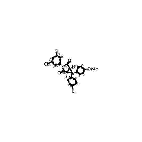 COc1ccc([C@@]2(c3ccc(Cl)cc3)[C@@H]3C(=O)N(c4cc(Cl)cc(Cl)c4)C(=O)[C@@]32C)cc1